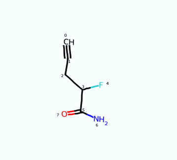 C#CCC(F)C(N)=O